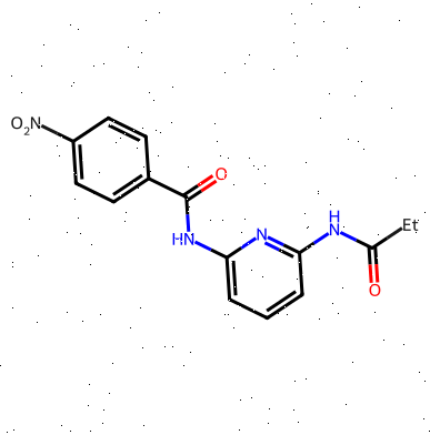 CCC(=O)Nc1cccc(NC(=O)c2ccc([N+](=O)[O-])cc2)n1